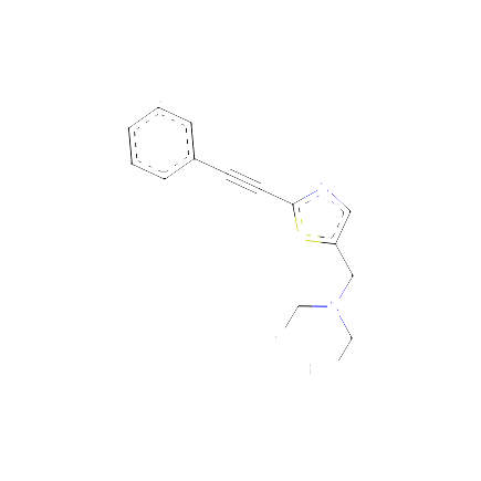 CCN(CC)Cc1cnc(C#Cc2ccccc2)s1